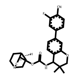 CC1(C)COc2cc(-c3ccc(C#N)c(F)c3)ccc2C1NC(=O)O[C@H]1CN2CCC1CC2